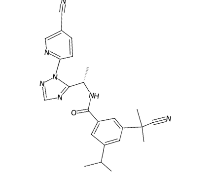 CC(C)c1cc(C(=O)N[C@@H](C)c2ncnn2-c2ccc(C#N)cn2)cc(C(C)(C)C#N)c1